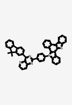 CC1(C)c2ccccc2-c2ccc(-c3nc(-c4ccc(-n5c6ccccc6c6c7sc8ccccc8c7c7ccccc7c65)cc4)nc4cccnc34)cc21